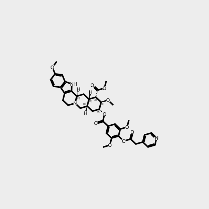 COC(=O)[C@H]1[C@H]2C[C@@H]3c4[nH]c5cc(OC)ccc5c4CCN3C[C@H]2C[C@@H](OC(=O)c2cc(OC)c(OC(=O)Cc3ccncc3)c(OC)c2)[C@@H]1OC